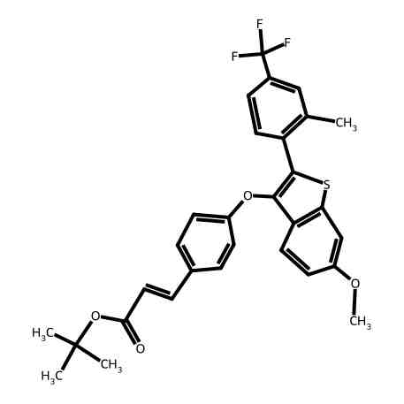 COc1ccc2c(Oc3ccc(C=CC(=O)OC(C)(C)C)cc3)c(-c3ccc(C(F)(F)F)cc3C)sc2c1